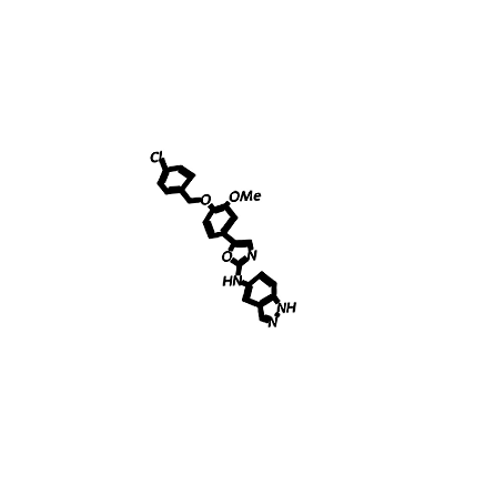 COc1cc(-c2cnc(Nc3ccc4[nH]ncc4c3)o2)ccc1OCc1ccc(Cl)cc1